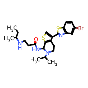 CCC(C)NCCC(=O)NC1c2scc(-c3nc4cc(Br)ccc4s3)c2CCN1C(C)C